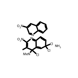 CNC1(Cl)C2=CC(Cl)(Cl)C=CC2=NC([N+](=O)[O-])=C1C.N.O=[N+]([O-])c1cnc2ccccc2c1